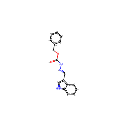 O=C(NN=Cc1c[nH]c2ccccc12)OCc1ccccc1